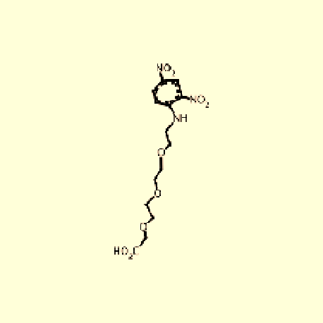 O=C(O)COCCOCCOCCNc1ccc([N+](=O)[O-])cc1[N+](=O)[O-]